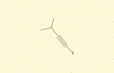 C[C](C)C#CI